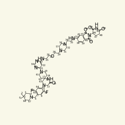 CC1(C)CCN(Cc2cc(F)c(N3CC(=O)NC4(CCN(c5cc(NCCOCCN6CCN(CCNc7ccc8c(c7)C(=O)N(C7CCC(=O)NC7=O)C8=O)CC6)ncn5)CC4)C3)cc2F)CC1